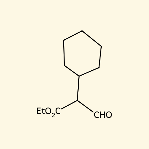 CCOC(=O)C(C=O)C1CCCCC1